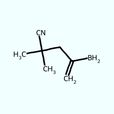 BC(=C)CC(C)(C)C#N